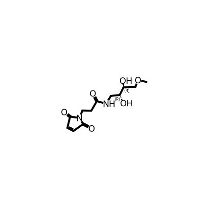 COC[C@@H](O)[C@H](O)CNC(=O)CCN1C(=O)C=CC1=O